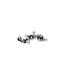 O[C@@H]1CO[C@H]2[C@@H]1OC[C@H]2Oc1nc2nc(NCc3ccn(Cc4ccon4)n3)c(Cl)cc2[nH]1